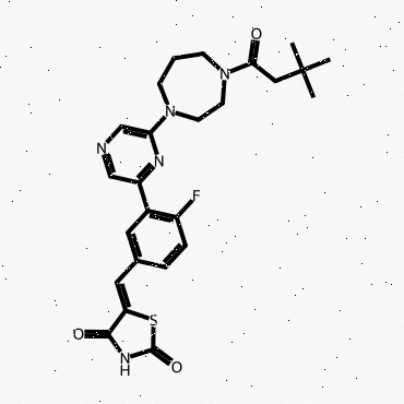 CC(C)(C)CC(=O)N1CCCN(c2cncc(-c3cc(/C=C4\SC(=O)NC4=O)ccc3F)n2)CC1